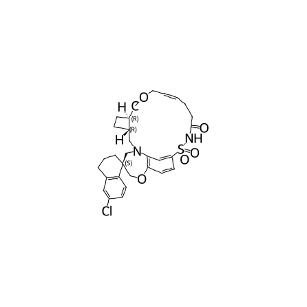 O=C1CCC=CCOC[C@@H]2CC[C@H]2CN2C[C@@]3(CCCc4cc(Cl)ccc43)COc3ccc(cc32)S(=O)(=O)N1